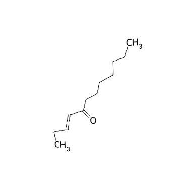 CCC=CC(=O)CCCCCCC